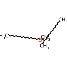 CC=CC(CCCCCCCCCCCCCC)C(C)OCCCCCCCCCCCCCCCCCC